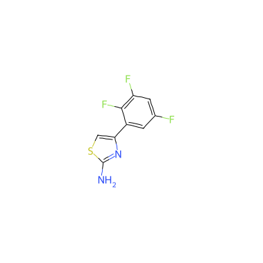 Nc1nc(-c2cc(F)cc(F)c2F)cs1